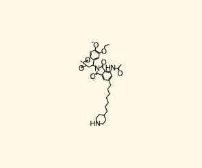 CCOc1cc(C(CS(C)(=O)=O)N2C(=O)c3cc(CCCCCCCC4CCNCC4)cc(NC(C)=O)c3C2=O)ccc1OC